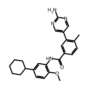 COc1ccc(C2CCCCC2)cc1NC(=O)c1ccc(C)c(-c2cnc(N)nc2)c1